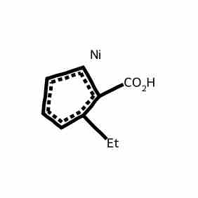 CCc1ccccc1C(=O)O.[Ni]